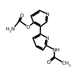 CC(=O)Nc1cccc(-c2cnccc2OC(N)=O)n1